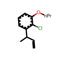 [CH2]C(C=C)c1cccc(OCCC)c1Cl